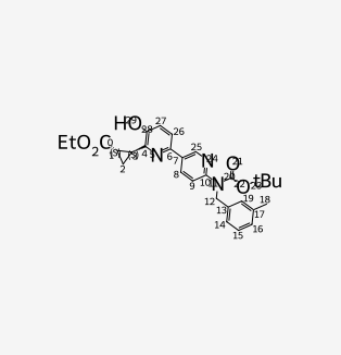 CCOC(=O)[C@H]1C[C@@H]1c1nc(-c2ccc(N(Cc3cccc(C)c3)C(=O)OC(C)(C)C)nc2)ccc1O